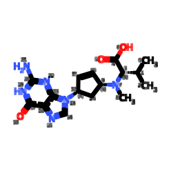 CC(C)[C@@H](C(=O)O)N(C)[C@@H]1C=C[C@H](n2cnc3c(=O)[nH]c(N)nc32)C1